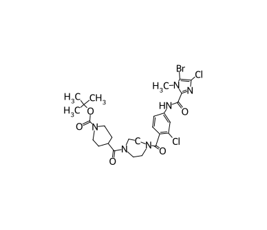 Cn1c(C(=O)Nc2ccc(C(=O)N3CCN(C(=O)C4CCN(C(=O)OC(C)(C)C)CC4)CC3)c(Cl)c2)nc(Cl)c1Br